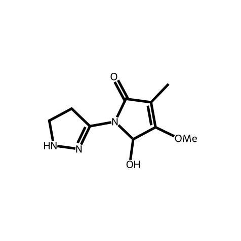 COC1=C(C)C(=O)N(C2=NNCC2)C1O